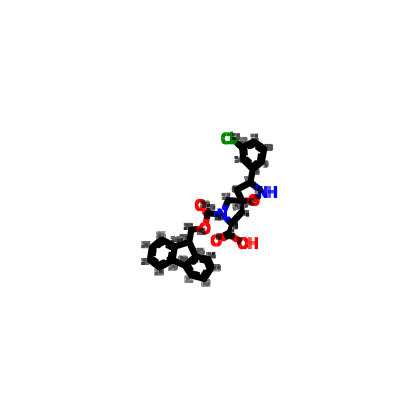 O=C(O)[C@@H]1C[C@]2(CC(c3cccc(Cl)c3)NO2)CN1C(=O)OCC1c2ccccc2-c2ccccc21